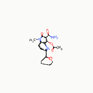 CC(=O)Oc1c(C(N)=O)c(=O)n(C)c2ccc(C3CCCCO3)nc12